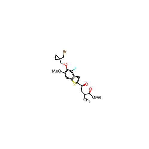 COC(=O)C(C)CC(=O)c1cc2c(F)c(OCC3(CBr)CC3)c(OC)cc2s1